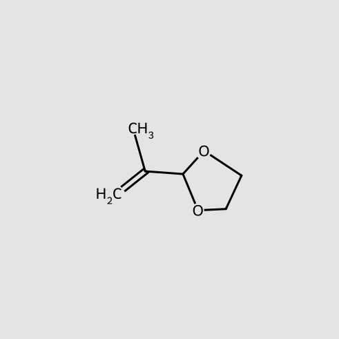 C=C(C)C1OCCO1